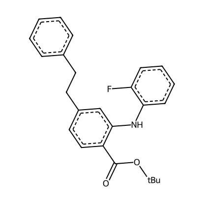 CC(C)(C)OC(=O)c1ccc(CCc2ccccc2)cc1Nc1ccccc1F